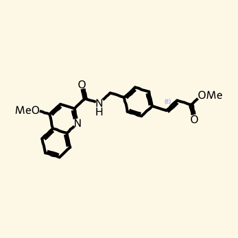 COC(=O)/C=C/c1ccc(CNC(=O)c2cc(OC)c3ccccc3n2)cc1